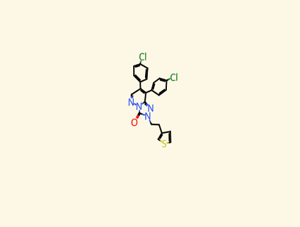 O=c1n(CCc2ccsc2)nc2c(-c3ccc(Cl)cc3)c(-c3ccc(Cl)cc3)cnn12